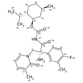 Cc1cc([C@@](N)(Cn2cccc(C)c2=O)C(=O)NC(=O)O[C@@H]2C[C@H](C)CC[C@H]2C(C)C)ccc1F